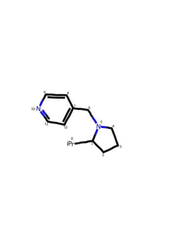 CC(C)C1CCCN1Cc1ccncc1